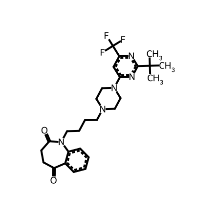 CC(C)(C)c1nc(N2CCN(CCCCN3C(=O)CCC(=O)c4ccccc43)CC2)cc(C(F)(F)F)n1